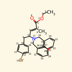 CCOC(=O)/C(C)=C/C(Cc1ccc(Br)cc1)N(Cc1ccccc1)Cc1ccccc1